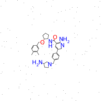 Cc1ccc(CO[C@H]2CCC[C@@H]2NC(=O)c2cc(-c3ccc(CN4CCC(N)C4)cc3)cnc2N)cc1C